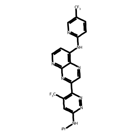 CC(C)Nc1cc(C(F)(F)F)c(-c2cnc3c(Nc4ccc(C(F)(F)F)cn4)ccnc3n2)nn1